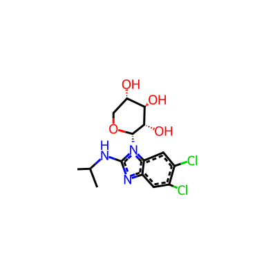 CC(C)Nc1nc2cc(Cl)c(Cl)cc2n1[C@@H]1OC[C@H](O)[C@H](O)[C@@H]1O